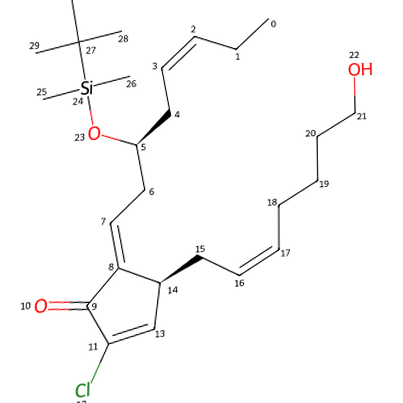 CC/C=C\C[C@@H](C/C=C1/C(=O)C(Cl)=C[C@@H]1C/C=C\CCCCO)O[Si](C)(C)C(C)(C)C